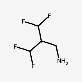 NC[C](C(F)F)C(F)F